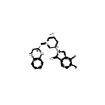 Cl.O=C1c2ccc(F)c(F)c2CN1[C@H]1CCCN(C[C@H]2COc3ccccc3O2)C1